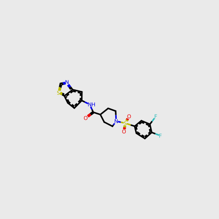 O=C(Nc1ccc2scnc2c1)C1CCN(S(=O)(=O)c2ccc(F)c(F)c2)CC1